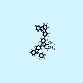 C=Cc1c(/C=C\C)n(-c2ccc3c4ccccc4n(-c4ccccc4)c3c2)c2ccc(-c3ccc4c5cccc6c7ccccc7n(c4c3)c65)cc12